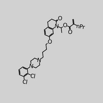 C=C(CCC)C(=O)OC(C)N1C(=O)CCc2ccc(OCCCCN3CCN(c4cccc(Cl)c4Cl)CC3)cc21